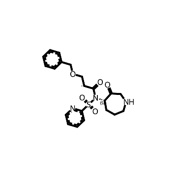 O=C1CNCCC[C@@H]1N(C(=O)[CH]COCc1ccccc1)S(=O)(=O)c1ccccn1